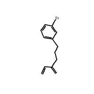 C=CC(=C)CCCc1cccc(CC)c1